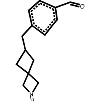 O=Cc1ccc(CC2CC3(CNC3)C2)cc1